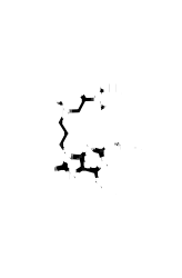 CCCCOc1nc(N)c2[nH]c(=O)n(CCCN(C)CC(=O)N(C)C)c2n1